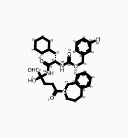 O=CC(O)(CCC(=O)N1CCCc2ccccc2C1)NC(=O)[C@H](CC1CCCCC1)NC(=O)OCc1cccc(Cl)c1